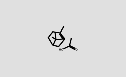 CC(=O)O.CC1=C2CC(CC1)C2(C)C